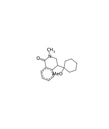 COC1(C2CN(C)C(=O)c3ccccc32)CCCCC1